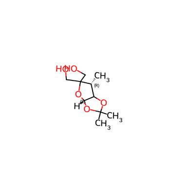 C[C@@H]1C2OC(C)(C)O[C@@H]2OC1(CO)CO